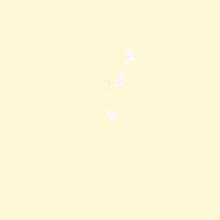 COc1ccc2c(C(C)C)cc(-c3csc(NC(C)C)n3)nc2c1C